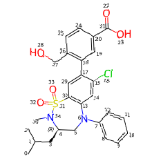 CC(C)C[C@@H]1CN(c2ccccc2)c2cc(Cl)c(-c3cc(C(=O)O)ccc3CO)cc2S(=O)(=O)N1C